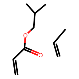 C=CC.C=CC(=O)OCC(C)C